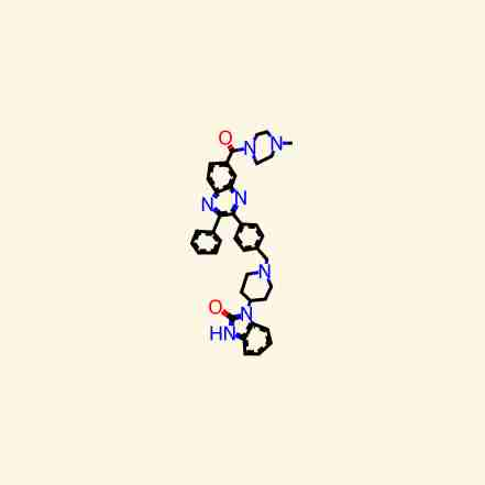 CN1CCN(C(=O)c2ccc3nc(-c4ccccc4)c(-c4ccc(CN5CCC(n6c(=O)[nH]c7ccccc76)CC5)cc4)nc3c2)CC1